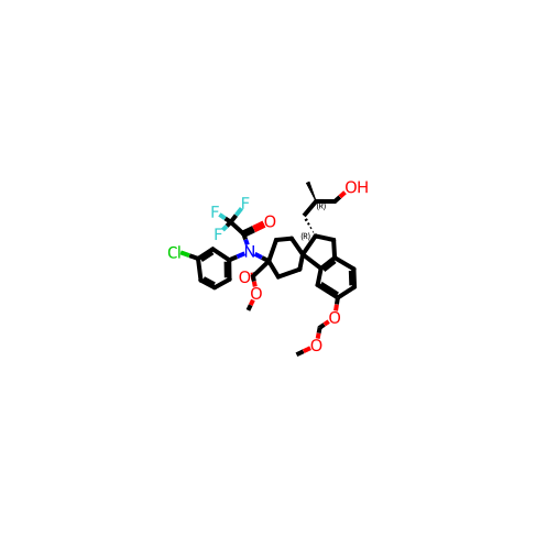 COCOc1ccc2c(c1)C1(CCC(C(=O)OC)(N(C(=O)C(F)(F)F)c3cccc(Cl)c3)CC1)[C@H](C[C@@H](C)CO)C2